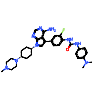 CN1CCN([C@H]2CC[C@@H](n3cc(-c4ccc(NC(=O)Nc5ccc(N(C)C)cc5)c(F)c4)c4c(N)ncnc43)CC2)CC1